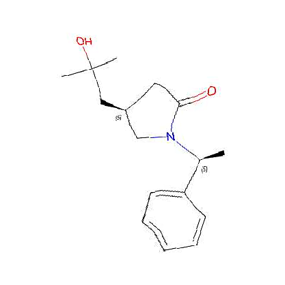 C[C@@H](c1ccccc1)N1C[C@@H](CC(C)(C)O)CC1=O